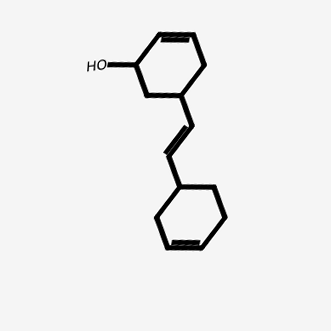 OC1C=CCC(C=CC2CC=CCC2)C1